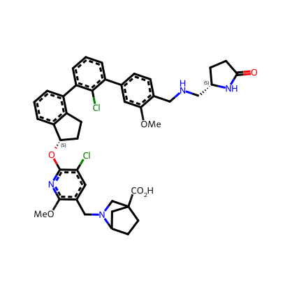 COc1cc(-c2cccc(-c3cccc4c3CC[C@@H]4Oc3nc(OC)c(CN4CC5(C(=O)O)CCC4C5)cc3Cl)c2Cl)ccc1CNC[C@@H]1CCC(=O)N1